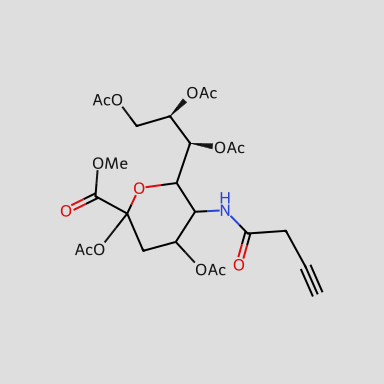 C#CCC(=O)NC1C(OC(C)=O)CC(OC(C)=O)(C(=O)OC)OC1[C@H](OC(C)=O)[C@@H](COC(C)=O)OC(C)=O